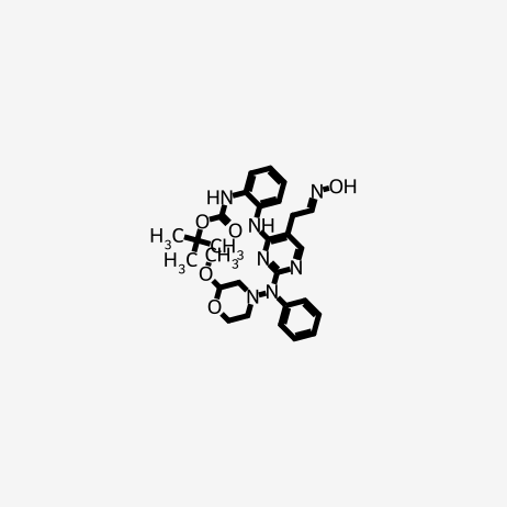 COC1CN(N(c2ccccc2)c2ncc(CC=NO)c(Nc3ccccc3NC(=O)OC(C)(C)C)n2)CCO1